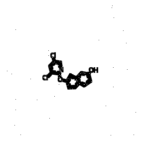 Oc1ccc2ccc(Oc3ncc(Cl)cc3Cl)cc2c1